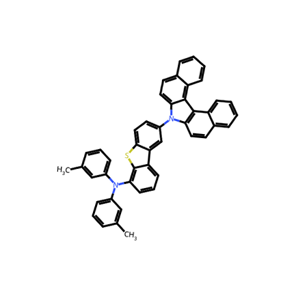 Cc1cccc(N(c2cccc(C)c2)c2cccc3c2sc2ccc(-n4c5ccc6ccccc6c5c5c6ccccc6ccc54)cc23)c1